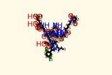 C/C=C(\C)Cn1cc(-c2cc(F)ccc2F)cc1[C@H](N(CC[C@H](NC(=O)[C@H](CC(N)=O)NC(=O)[C@@H](C)NC(=O)[C@H](C)NC(=O)CCCCCN1C(=O)C=CC1=O)C(=O)NCCC(=O)N[C@H](CCC(=O)O)C(=O)O)C(=O)CO)C(C)(C)C